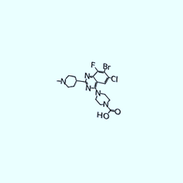 CN1CCC(c2nc(N3CCN(C(=O)O)CC3)c3cc(Cl)c(Br)c(F)c3n2)CC1